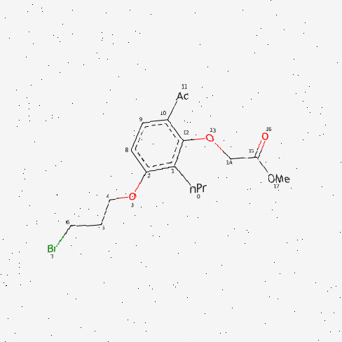 CCCc1c(OCCCBr)ccc(C(C)=O)c1OCC(=O)OC